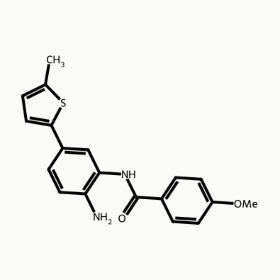 COc1ccc(C(=O)Nc2cc(-c3ccc(C)s3)ccc2N)cc1